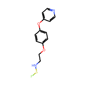 FSNCCOc1ccc(Oc2ccncc2)cc1